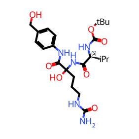 CC(C)[C@H](NC(=O)OC(C)(C)C)C(=O)NC(O)(CCCNC(N)=O)C(=O)Nc1ccc(CO)cc1